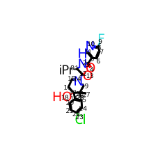 CC(C)[C@@H](NC(=O)c1ccc(F)nc1)C(=O)N1CC[C@](O)(c2ccc(Cl)cc2)C(C)(C)C1